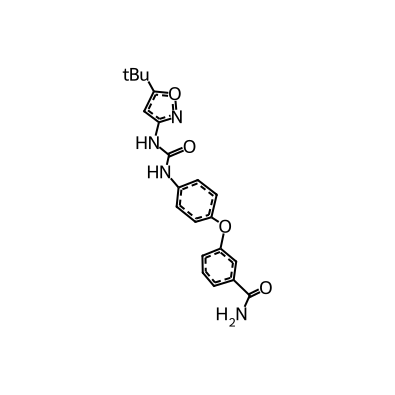 CC(C)(C)c1cc(NC(=O)Nc2ccc(Oc3cccc(C(N)=O)c3)cc2)no1